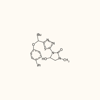 CCC(C)C(Oc1ccc(C(C)C)cc1)c1nnc(N2C(=O)N(C)CC2O)s1